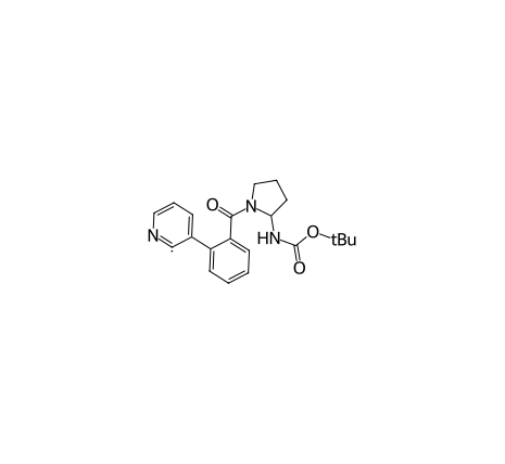 CC(C)(C)OC(=O)NC1CCCN1C(=O)c1ccccc1-c1[c]nccc1